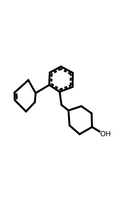 OC1CCC(Cc2ccccc2C2CC=CCC2)CC1